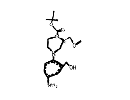 COC[C@H]1CN(c2ccc(N)cc2CO)CCN1C(=O)OC(C)(C)C